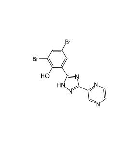 Oc1c(Br)cc(Br)cc1-c1nc(-c2cnccn2)n[nH]1